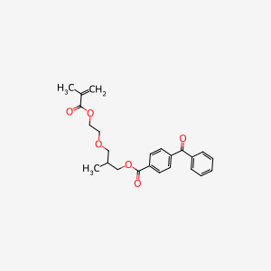 C=C(C)C(=O)OCCOCC(C)COC(=O)c1ccc(C(=O)c2ccccc2)cc1